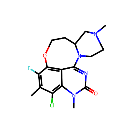 Cc1c(F)c2c3c(nc(=O)n(C)c3c1Cl)N1CCN(C)CC1CCO2